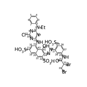 CCN(c1ccccc1)c1nc(Cl)nc(Nc2cc(S(=O)(=O)O)cc3cc(S(=O)(=O)O)c(/N=N/c4cc(NC(=O)C(Br)CBr)ccc4S(=O)(=O)O)c(O)c23)n1